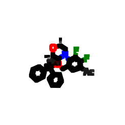 CC(=O)c1cc(CO[Si](c2ccccc2)(c2ccccc2)C(C)(C)C)c(N2C[C@@H](C)O[C@@H](C)C2)c(F)c1F